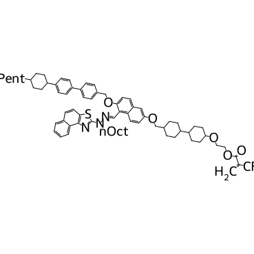 C=C(C(=O)OCCOC1CCC(C2CCC(COc3ccc4c(/C=N/N(CCCCCCCC)c5nc6c(ccc7ccccc76)s5)c(OCc5ccc(-c6ccc(C7CCC(CCCCC)CC7)cc6)cc5)ccc4c3)CC2)CC1)C(F)(F)F